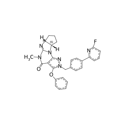 CN1C(=O)c2c(nn(Cc3ccc(-c4cccc(F)n4)cc3)c2Oc2ccccc2)N2C1=N[C@@H]1CCC[C@@H]12